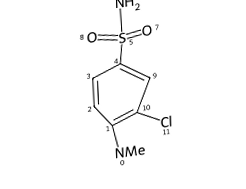 CNc1ccc(S(N)(=O)=O)cc1Cl